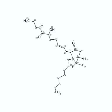 CCCCCCCC[C@]12[C@H](CC(=O)[C@@H]1CC=CCCC(O)C(=O)OCCC)C2(F)F